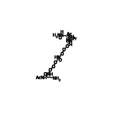 CC(=O)NC(CCCCN)C(=O)NCCOCCOCCOCCC(=O)NCCOCCOCCOCCC(=O)NC(C(=O)NC(CCCNC(N)=O)C(C)=O)C(C)C